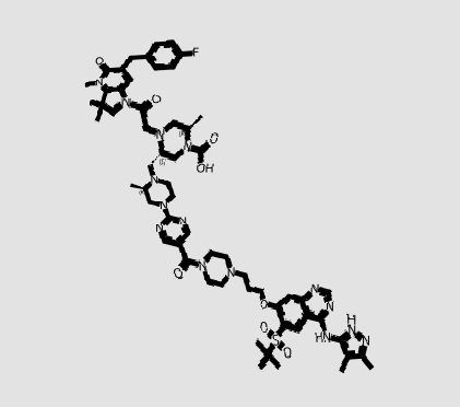 Cc1n[nH]c(Nc2ncnc3cc(OCCCN4CCN(C(=O)c5cnc(N6CCN(C[C@H]7CN(C(=O)O)[C@H](C)CN7CC(=O)N7CC(C)(C)c8c7cc(Cc7ccc(F)cc7)c(=O)n8C)[C@H](C)C6)nc5)CC4)c(S(=O)(=O)C(C)(C)C)cc23)c1C